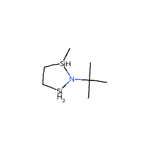 C[SiH]1CC[SiH2]N1C(C)(C)C